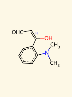 CN(C)c1ccccc1/C(O)=C\C=O